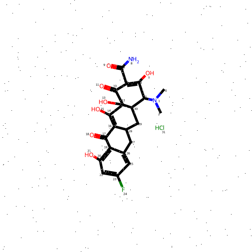 CN(C)C1C(O)=C(C(N)=O)C(=O)C2(O)C(O)=C3C(=O)c4c(O)cc(F)cc4CC3CC12.Cl